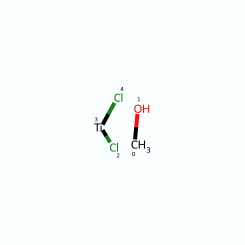 CO.[Cl][Ti][Cl]